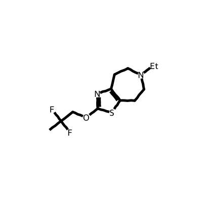 CCN1CCc2nc(OCC(C)(F)F)sc2CC1